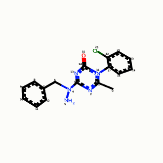 Cc1nc(N(N)Cc2ccccc2)nc(=O)n1-c1ccccc1Cl